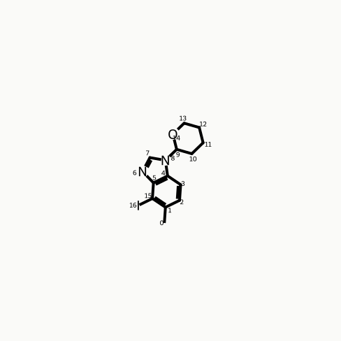 Cc1ccc2c(ncn2C2CCCCO2)c1I